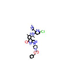 Cc1cc(C(C)Nc2ccc(Cl)nc2-c2cnn(C)c2)c2c(c1)c(=O)n(C)c1c2cnn1C1CCN(C(=O)OCc2ccccc2)CC1